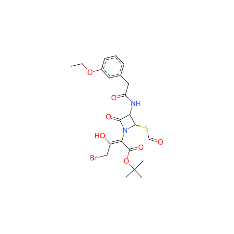 CCOc1cccc(CC(=O)NC2C(=O)N(C(C(=O)OC(C)(C)C)=C(O)CBr)C2SC=O)c1